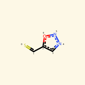 S=Cc1cnno1